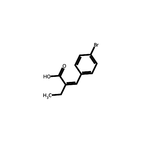 CCC(=Cc1ccc(Br)cc1)C(=O)O